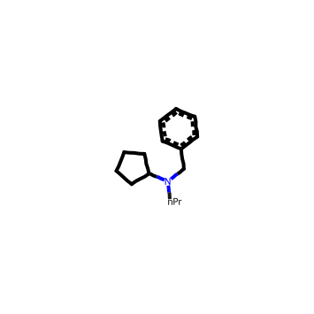 CCCN(Cc1ccccc1)[C]1CCCC1